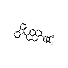 O=C1C(=O)C2C=CC1C=C2c1ccc2ccc3c(-n4c5ccccc5c5ccccc54)ccc4ccc1c2c43